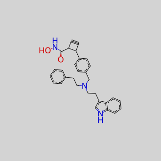 O=C(NO)C1C#CC1c1ccc(CN(CCc2ccccc2)CCc2c[nH]c3ccccc23)cc1